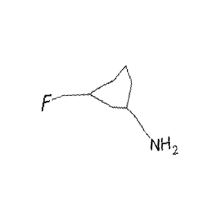 NC1CC1F